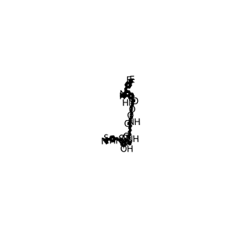 Cc1ncsc1-c1ccc(CNC(=O)[C@@H]2C[C@@H](O)CN2C(=O)[C@@H](NC(=O)CCCCCC(=O)NCCOCCOCCNC(=O)c2ccc3cc(Cc4ccc(C(F)(F)F)cc4)c4nn(C)cc4c3c2)C(C)(C)C)cc1